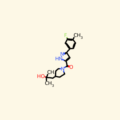 Cc1ccc(-c2cc(C(=O)N3CCC(CC(C)(C)O)CC3)[nH]n2)cc1F